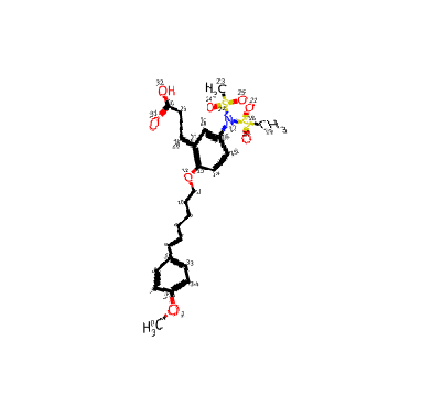 COc1ccc(/C=C/CCCCOc2ccc(N(S(C)(=O)=O)S(C)(=O)=O)cc2CCC(=O)O)cc1